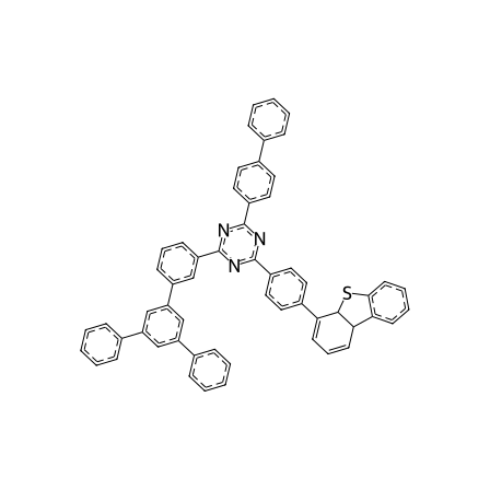 C1=CC2c3ccccc3SC2C(c2ccc(-c3nc(-c4ccc(-c5ccccc5)cc4)nc(-c4cccc(-c5cc(-c6ccccc6)cc(-c6ccccc6)c5)c4)n3)cc2)=C1